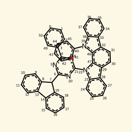 c1ccc(-c2nc(C3c4ccccc4-c4ccccc43)nc(-n3c4ccccc4c4ccc5c6ccccc6n(-c6ccccc6)c5c43)n2)cc1